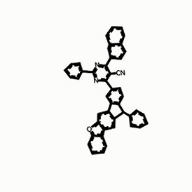 N#Cc1c(-c2ccc3c(c2)-c2cc4oc5ccccc5c4cc2C3c2ccccc2)nc(-c2ccccc2)nc1-c1ccc2ccccc2c1